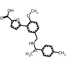 COc1ccc(CN[C@H](C)c2ccc(C)cc2)cc1-c1ccc(C(=O)O)o1